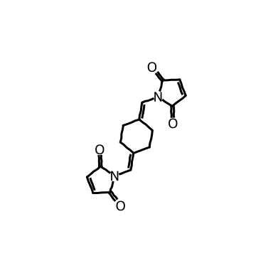 O=C1C=CC(=O)N1C=C1CCC(=CN2C(=O)C=CC2=O)CC1